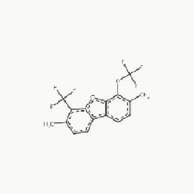 Cc1ccc2c(oc3c(C(F)(F)F)c(C)ccc32)c1OC(F)(F)F